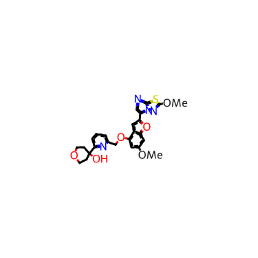 COc1cc(OCc2cccc(C3(O)CCOCC3)n2)c2cc(-c3cnc4sc(OC)nn34)oc2c1